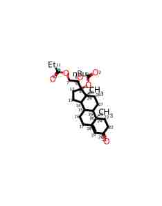 CCCCC(=O)O[C@]1(C(=O)COC(=O)CC)CCC2C3CCC4=CC(=O)CC[C@]4(C)C3CC[C@@]21C